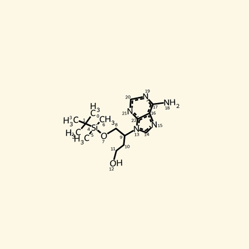 CC(C)(C)[Si](C)(C)OCC(CCO)n1cnc2c(N)ncnc21